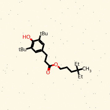 CCC(C)(CC)CCCOC(=O)CCc1cc(C(C)(C)C)c(O)c(C(C)(C)C)c1